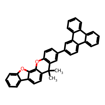 CC1(C)c2cc(-c3ccc4c5ccccc5c5ccccc5c4c3)ccc2Oc2c1ccc1c2oc2ccccc21